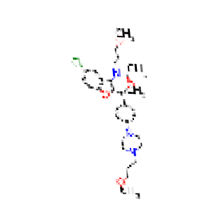 C=C(c1ccc(N2CCN(CCCOC)CC2)cc1)c1oc2ccc(Cl)cc2c1N(CCCOC)C(C)=O